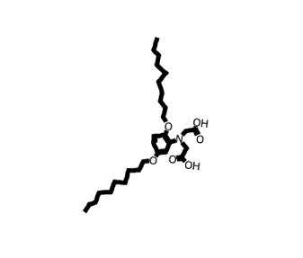 CCCCCCCCCCOc1ccc(OCCCCCCCCCC)c(N(CC(=O)O)CC(=O)O)c1